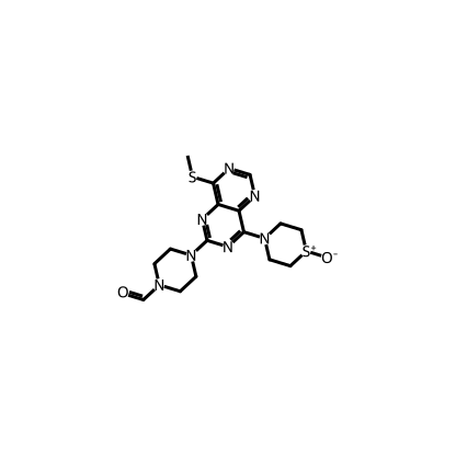 CSc1ncnc2c(N3CC[S+]([O-])CC3)nc(N3CCN(C=O)CC3)nc12